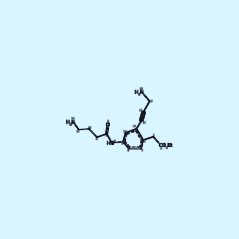 CCOC(=O)Cc1ccc(NC(=O)CCCN)cc1C#CCN